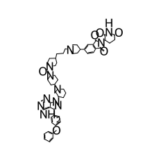 Nc1ncnc2c1c(-c1ccc(Oc3ccccc3)cc1)nn2[C@@H]1CCCN(C2CCN(C(=O)N3CCC(CCCN4CCC(c5ccc6c(c5)C(=O)N(C5CCC(=O)NC5=O)C6=O)CC4)CC3)CC2)C1